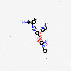 CNC12CC(C3=C(CN4CCN(c5ccc(C(=O)NS(=O)(=O)c6ccc(NCC7CCCCC7)c([N+](=O)[O-])c6)c(Oc6cnc7[nH]ccc7c6)c5)CC4)CCC(C)(C)C3)(C1)C2